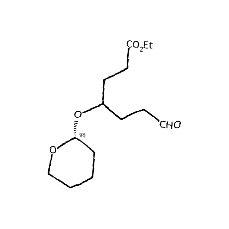 CCOC(=O)CCC(CCC=O)O[C@@H]1CCCCO1